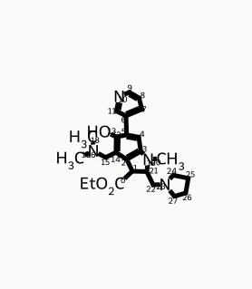 CCOC(=O)C1c2c(cc(-c3cccnc3)c(O)c2CN(C)C)N(C)C1CN1CCCC1